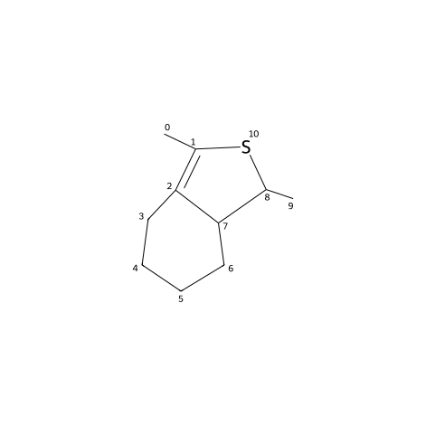 CC1=C2CCCCC2C(C)S1